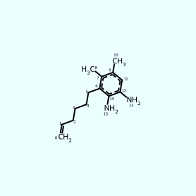 C=CCCCCc1c(C)c(C)cc(N)c1N